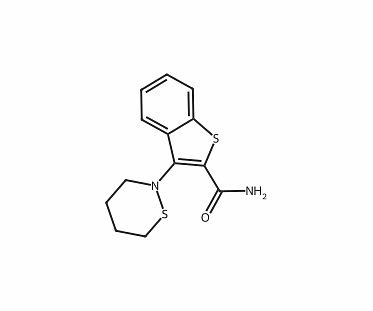 NC(=O)c1sc2ccccc2c1N1CCCCS1